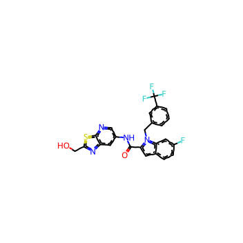 O=C(Nc1cnc2sc(CO)nc2c1)c1cc2ccc(F)cc2n1Cc1cccc(C(F)(F)F)c1